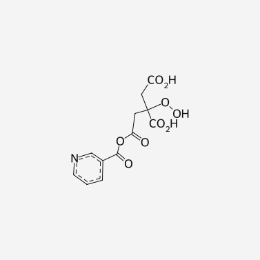 O=C(O)CC(CC(=O)OC(=O)c1cccnc1)(OO)C(=O)O